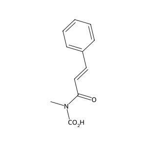 CN(C(=O)O)C(=O)/C=C/c1ccccc1